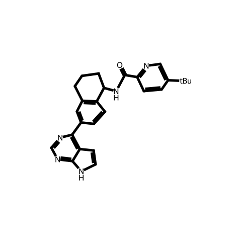 CC(C)(C)c1ccc(C(=O)NC2CCCc3cc(-c4ncnc5[nH]ccc45)ccc32)nc1